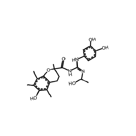 Cc1c(C)c2c(c(C)c1O)CCC(C)(C(=O)N/C(=N\C(C)O)Nc1ccc(O)c(O)c1)O2